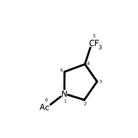 CC(=O)N1CCC(C(F)(F)F)C1